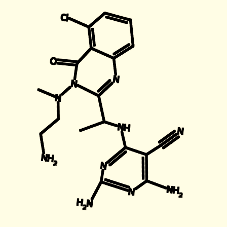 CC(Nc1nc(N)nc(N)c1C#N)c1nc2cccc(Cl)c2c(=O)n1N(C)CCN